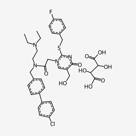 CCN(CC)CCN(Cc1ccc(-c2ccc(Cl)cc2)cc1)C(=O)Cn1cc(CO)c(=O)nc1SCc1ccc(F)cc1.O=C(O)C(O)C(O)C(=O)O